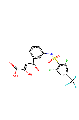 O=C(O)C(O)=CC(=O)c1cccc(NS(=O)(=O)c2c(Cl)cc(C(F)(F)F)cc2Cl)c1